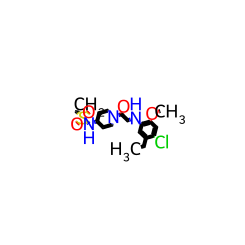 C=CS(=O)(=O)NC1CCN(C(=O)CNc2cc(CC)c(Cl)cc2OC)CC1